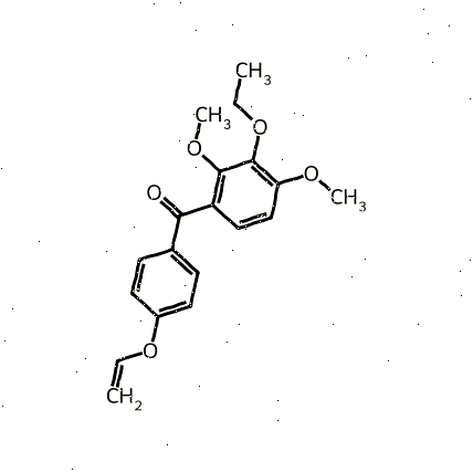 C=COc1ccc(C(=O)c2ccc(OC)c(OCC)c2OC)cc1